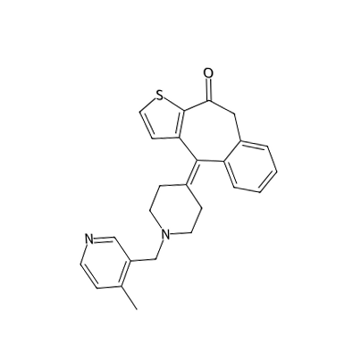 Cc1ccncc1CN1CCC(=C2c3ccccc3CC(=O)c3sccc32)CC1